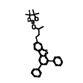 CC(CCc1ccc2c(c1)sc1c(-c3ccccc3)cc(-c3ccccc3)cc12)OB1OC(C)(C)C(C)(C)O1